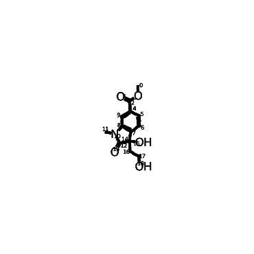 COC(=O)c1ccc2c(c1)N(C)C(=O)C2(O)CCO